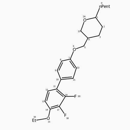 CCCCCC1CCC(COc2ccc(-c3ccc(OCC)c(F)c3F)cc2)CO1